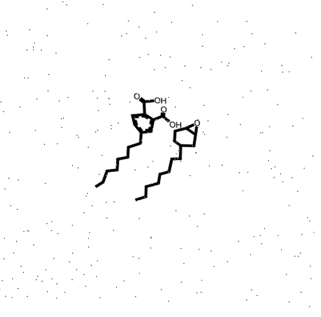 CCCCCCCCC1CCC2OC2C1.CCCCCCCCc1ccc(C(=O)O)c(C(=O)O)c1